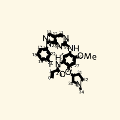 C=CC(=O)Nc1cc(Nc2ncc3cnn(-c4cccc(F)c4)c3n2)c(OC)cc1OC1CCN(C)C1